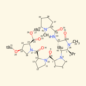 CC(C)[C@@H](CN1CCC[C@H]1C(=O)N1CCC[C@H]1C(=O)N1C[C@@H](OC(C)(C)C)C[C@H]1C(=O)OC(C)(C)C)N(C)C(=O)[C@@H](NC(=O)C1CCCCN1C)C(C)(C)C